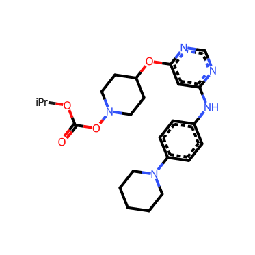 CC(C)OC(=O)ON1CCC(Oc2cc(Nc3ccc(N4CCCCC4)cc3)ncn2)CC1